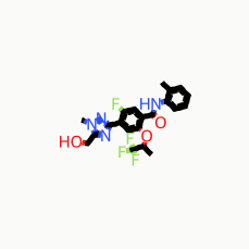 Cc1ccccc1NC(=O)c1cc(F)c(-c2nc(CO)n(C)n2)cc1OC(C)C(F)(F)F